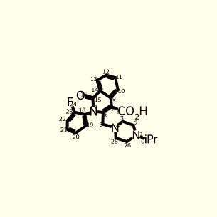 CC(C)N1CCN(Cc2c(C(=O)O)c3ccccc3c(=O)n2-c2ccccc2F)CC1